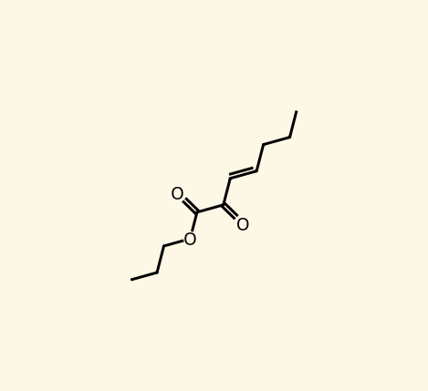 CCCC=CC(=O)C(=O)OCCC